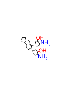 Nc1ccc(-c2ccc3c(c2-c2ccc(N)c(O)c2)Cc2ccccc2-3)cc1O